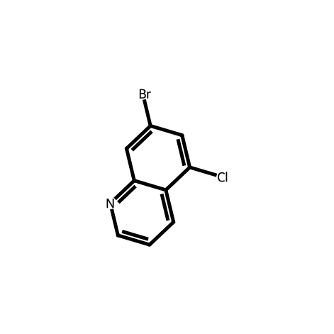 Clc1cc(Br)cc2ncccc12